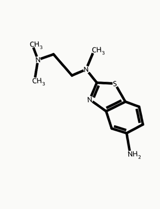 CN(C)CCN(C)c1nc2cc(N)ccc2s1